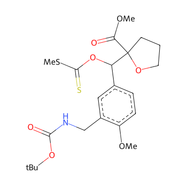 COC(=O)C1(C(OC(=S)SC)c2ccc(OC)c(CNC(=O)OC(C)(C)C)c2)CCCO1